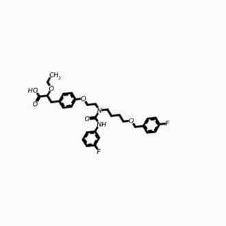 CCOC(Cc1ccc(OCCN(CCCCOCc2ccc(F)cc2)C(=O)Nc2cccc(F)c2)cc1)C(=O)O